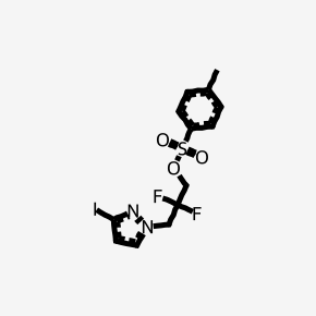 Cc1ccc(S(=O)(=O)OCC(F)(F)Cn2ccc(I)n2)cc1